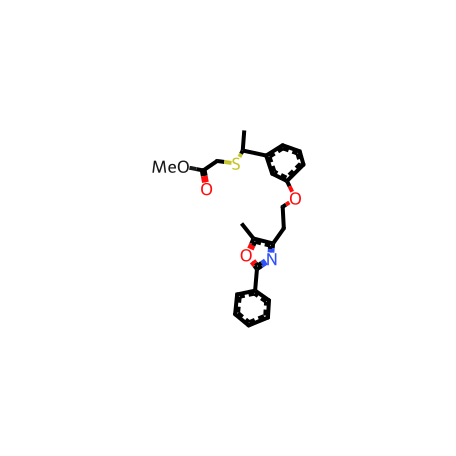 COC(=O)CSC(C)c1cccc(OCCc2nc(-c3ccccc3)oc2C)c1